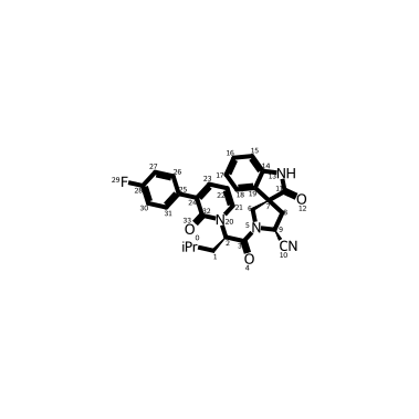 CC(C)C[C@H](C(=O)N1C[C@]2(C[C@H]1C#N)C(=O)Nc1ccccc12)n1cccc(-c2ccc(F)cc2)c1=O